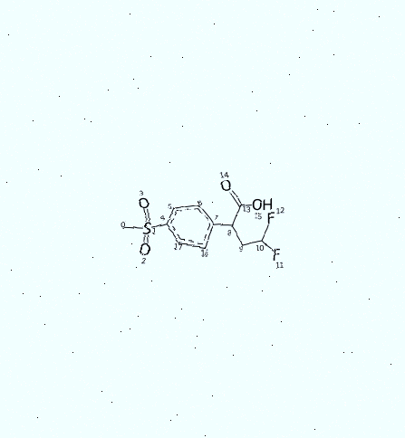 CS(=O)(=O)c1ccc(C(CC(F)F)C(=O)O)cc1